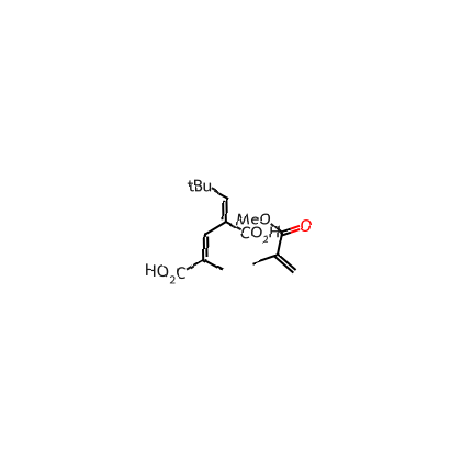 C=C(C)C(=O)OC.CC(=CC(=CC(C)(C)C)C(=O)O)C(=O)O